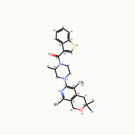 CC(C)c1nc(N2CCN(C(=O)c3csc4ccccc34)C(C)C2)c(C#N)c2c1COC(C)(C)C2